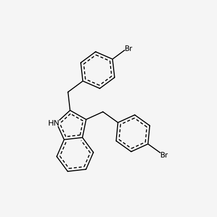 Brc1ccc(Cc2[nH]c3ccccc3c2Cc2ccc(Br)cc2)cc1